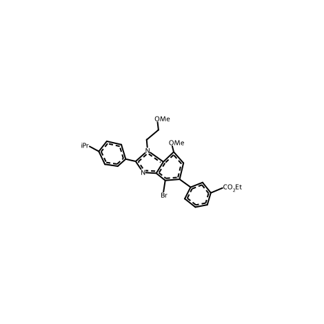 CCOC(=O)c1cccc(-c2cc(OC)c3c(nc(-c4ccc(C(C)C)cc4)n3CCOC)c2Br)c1